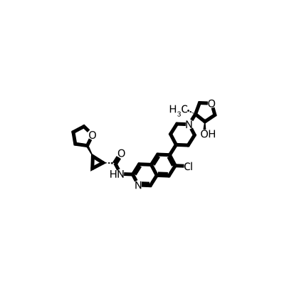 C[C@]1(N2CCC(c3cc4cc(NC(=O)[C@@H]5C[C@H]5C5CCCO5)ncc4cc3Cl)CC2)COC[C@H]1O